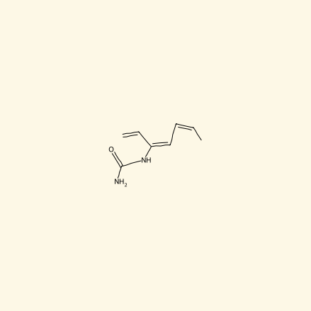 C=C/C(=C\C=C/C)NC(N)=O